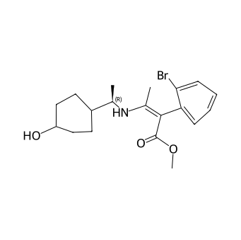 COC(=O)C(=C(C)N[C@H](C)C1CCC(O)CC1)c1ccccc1Br